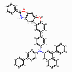 c1ccc(-c2ccc(N(c3ccc(-c4ccc5oc6cc7oc(-c8ccccc8)nc7cc6c5c4)cc3)c3cc(-c4ccccc4)c4ccccc4c3)cc2)cc1